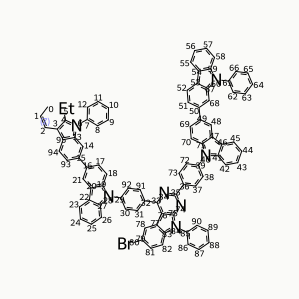 C/C=C\c1c(CC)n(-c2ccccc2)c2cc(-c3ccc4c(c3)c3ccccc3n4-c3ccc(-c4nc(-c5ccc(-n6c7ccccc7c7cc(-c8ccc9c%10ccccc%10n(-c%10ccccc%10)c9c8)ccc76)cc5)nc5c4c4cc(Br)ccc4n5-c4ccccc4)cc3)ccc12